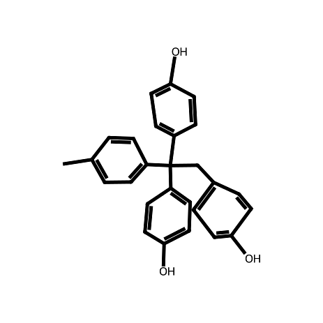 Cc1ccc(C(Cc2ccc(O)cc2)(c2ccc(O)cc2)c2ccc(O)cc2)cc1